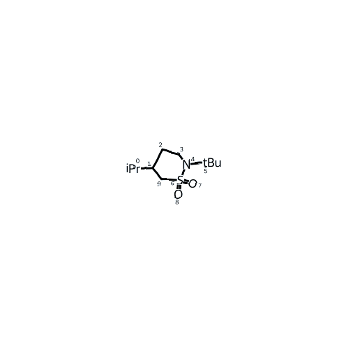 CC(C)C1CCN(C(C)(C)C)S(=O)(=O)C1